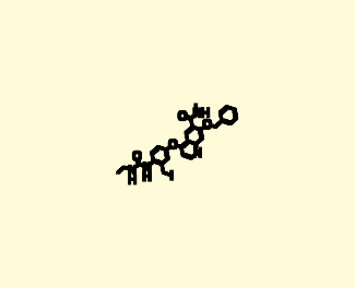 CCNC(=O)Nc1ccc(Oc2ccnc3cc(OCc4ccccc4)c(C(=O)NC)cc23)cc1CI